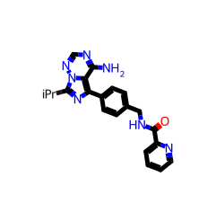 CC(C)c1nc(-c2ccc(CNC(=O)c3ccccn3)cc2)c2c(N)ncnn12